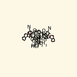 CN[C@@H](C)C(=O)N[C@H]1CN(C(=O)c2ccc(C(=O)N3C[C@H](NC(=O)[C@H](C)NC)C(=O)N(Cc4c(C)ccc5ccccc45)c4ccc(C#N)cc43)cc2)c2cc(C#N)ccc2N(Cc2c(C)ccc3ccccc23)C1=O.Cl.Cl